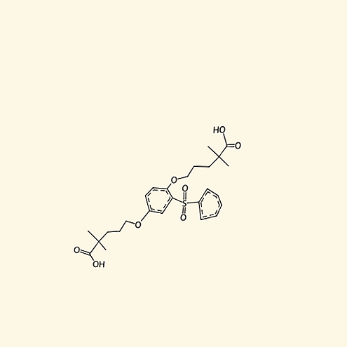 CC(C)(CCCOc1ccc(OCCCC(C)(C)C(=O)O)c(S(=O)(=O)c2ccccc2)c1)C(=O)O